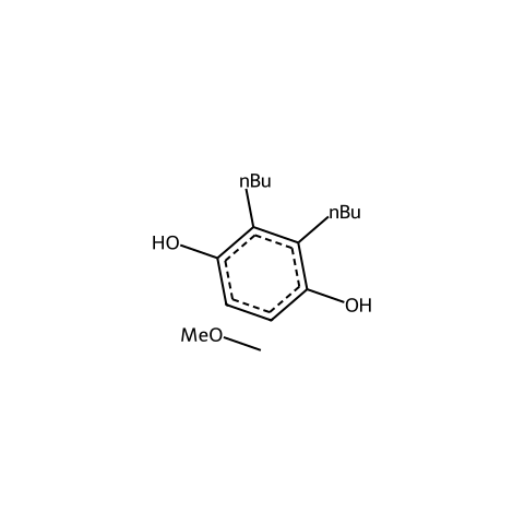 CCCCc1c(O)ccc(O)c1CCCC.COC